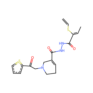 C=CSC(=CC)C(=O)NNC(=O)C1=CCCN(CC(=O)c2cccs2)C1